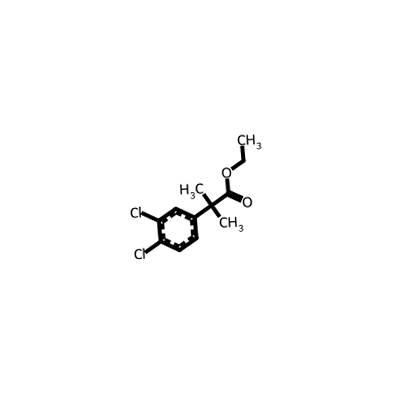 CCOC(=O)C(C)(C)c1ccc(Cl)c(Cl)c1